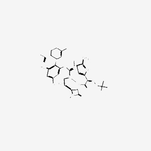 C=C(C)[C@@H]1CCC(C)=C[C@H]1c1c(O)cc(CCCCC)cc1O/C(=N\C)N(C)C/C=C1\[C@H](NC(=O)/C(=N\OC(C)(C)C(=O)O)C2=CCC(N)=N2)C(=O)N1S(=O)(=O)O